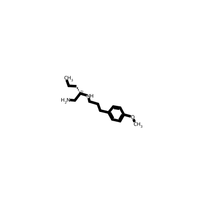 CCC[C@@H](CN)NCCCc1ccc(OC)cc1